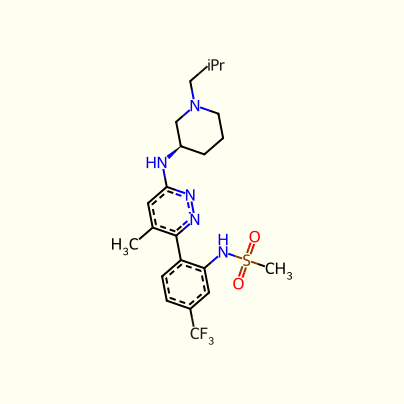 Cc1cc(N[C@@H]2CCCN(CC(C)C)C2)nnc1-c1ccc(C(F)(F)F)cc1NS(C)(=O)=O